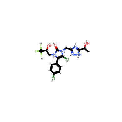 CC(O)c1nc(Cn2c(Cl)c(-c3ccc(Cl)cc3)n(CC(O)C(F)(F)F)c2=O)n[nH]1